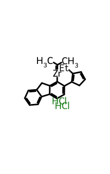 CCC1=C(c2ccc3c([c]2[Zr]=[C](C)C)Cc2ccccc2-3)CC=C1.Cl.Cl